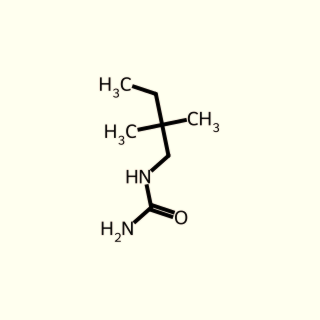 CCC(C)(C)CNC(N)=O